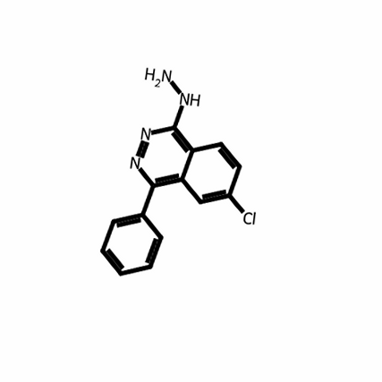 NNc1nnc(-c2ccccc2)c2cc(Cl)ccc12